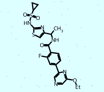 CCOc1cncc(-c2ccc(C(=O)NC(C)c3csc(NS(=O)(=O)C4CC4)n3)c(F)c2)n1